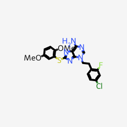 COc1ccc(OC)c(Sc2nc3c(N)ncn(CCc4ccc(Cl)cc4F)c-3n2)c1